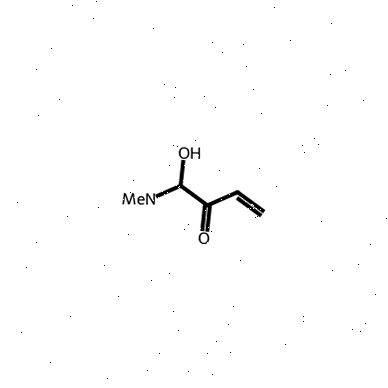 C=CC(=O)C(O)NC